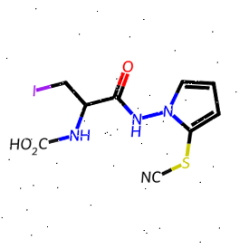 N#CSc1cccn1NC(=O)C(CI)NC(=O)O